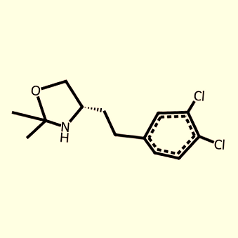 CC1(C)N[C@@H](CCc2ccc(Cl)c(Cl)c2)CO1